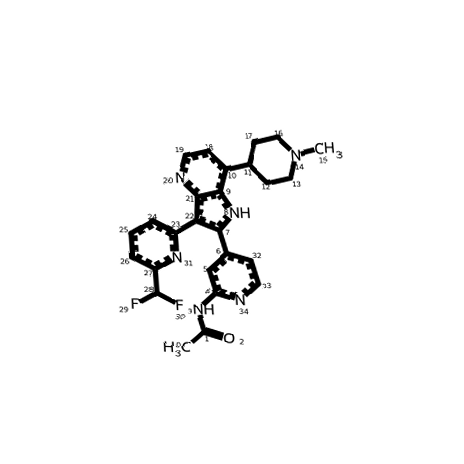 CC(=O)Nc1cc(-c2[nH]c3c(C4CCN(C)CC4)ccnc3c2-c2cccc(C(F)F)n2)ccn1